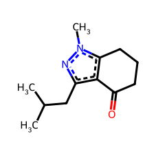 CC(C)Cc1nn(C)c2c1C(=O)CCC2